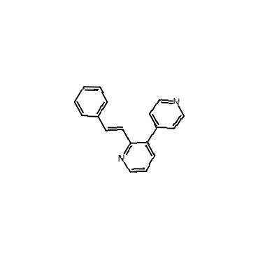 C(=Cc1ncccc1-c1ccncc1)c1ccccc1